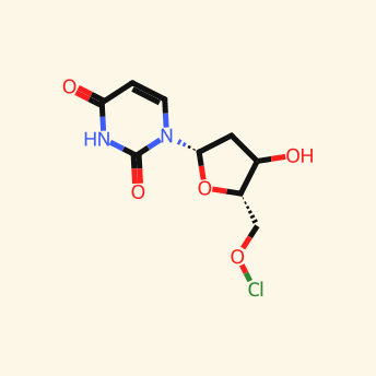 O=c1ccn([C@@H]2CC(O)[C@H](COCl)O2)c(=O)[nH]1